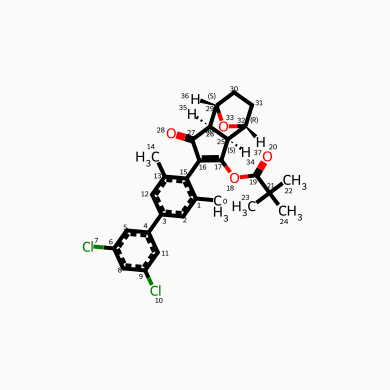 Cc1cc(-c2cc(Cl)cc(Cl)c2)cc(C)c1C1=C(OC(=O)C(C)(C)C)[C@H]2[C@@H](C1=O)[C@@H]1CC[C@H]2O1